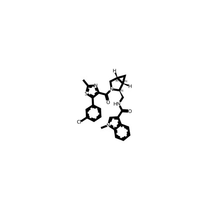 Cc1nc(C(=O)N2C[C@@H]3C[C@@H]3[C@H]2CNC(=O)c2cn(C)c3ccccc23)c(-c2cccc(Cl)c2)s1